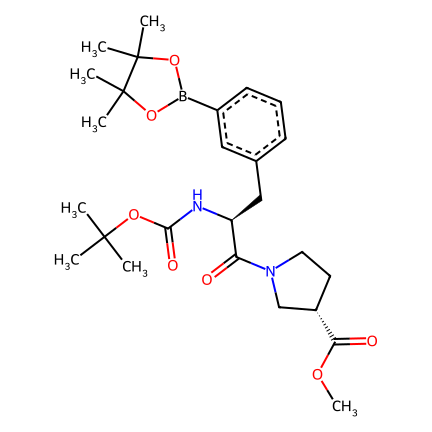 COC(=O)[C@H]1CCN(C(=O)[C@H](Cc2cccc(B3OC(C)(C)C(C)(C)O3)c2)NC(=O)OC(C)(C)C)C1